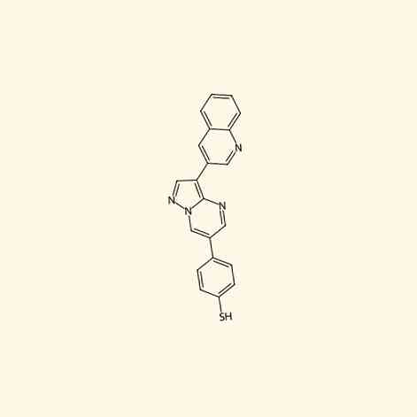 Sc1ccc(-c2cnc3c(-c4cnc5ccccc5c4)cnn3c2)cc1